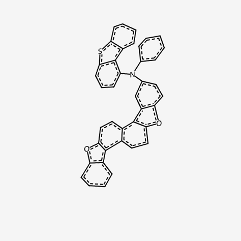 c1ccc(N(c2ccc3oc4ccc5c(ccc6oc7ccccc7c65)c4c3c2)c2cccc3sc4ccccc4c23)cc1